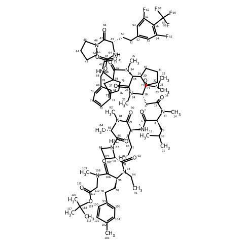 CC[C@H](C)[C@H](NC(=O)[C@H](CC(C)C)N(C)C(=O)C[C@@H](C(=O)N(C)C)N(C)C(=O)[C@H](C1CCCC1)N(C)C(=O)C1(NC(=O)[C@@H]2CCCN2C(=O)[C@H](CCc2cc(F)c(C(F)(F)F)c(F)c2)NC(=O)OCc2ccccc2)CCCC1)C(=O)N(C)[C@@H](C)C(=O)N1CC[C@H]1C(=O)N(CC)[C@@H](CCc1ccc(C)cc1)C(=O)N(C)CC(=O)OC(C)(C)C